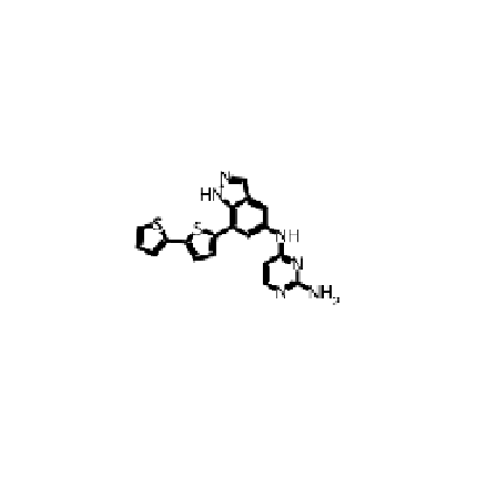 Nc1nccc(Nc2cc(-c3ccc(-c4cccs4)s3)c3[nH]ncc3c2)n1